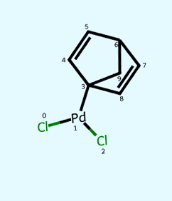 [Cl][Pd]([Cl])[C]12C=CC(C=C1)C2